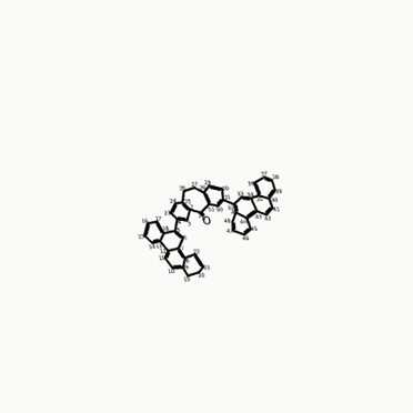 O=C1c2cc(-c3cc4c5c(ccc4c4ccccc34)CCC=C5)ccc2CCc2ccc(-c3cc4c5ccccc5ccc4c4ccccc34)cc21